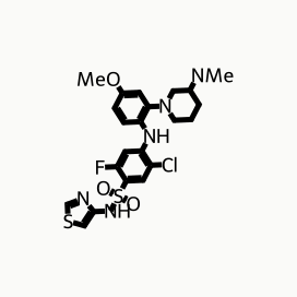 CNC1CCCN(c2cc(OC)ccc2Nc2cc(F)c(S(=O)(=O)Nc3cscn3)cc2Cl)C1